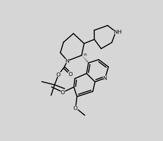 COc1cc2nccc([C@H]3C(C4CCNCC4)CCCN3C(=O)OC(C)(C)C)c2cc1OC